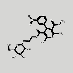 COC(=O)C1=C(C)NC(C)=C(C(=O)OCCO[C@H]2O[C@H](CO)[C@@H](O)[C@H](O)[C@H]2O)C1c1cccc([N+](=O)[O-])c1